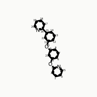 c1ccc(Oc2cccc(Oc3cccc(-c4ccccn4)c3)c2)nc1